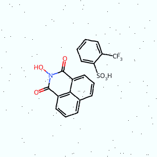 O=C1c2cccc3cccc(c23)C(=O)N1O.O=S(=O)(O)c1ccccc1C(F)(F)F